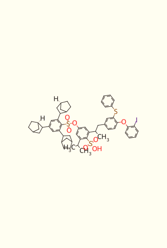 CC(C)c1cc(OS(=O)(=O)c2c(C3CC4CCC3C4)cc(C3CC4CC[C@@H]3C4)cc2C2C[C@H]3CCC2C3)cc(C(C)Cc2ccc(Oc3ccccc3I)c(Sc3ccccc3)c2)c1S(=O)(=O)O